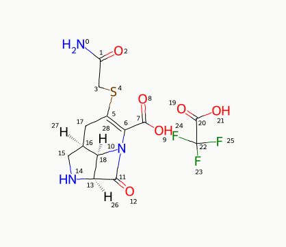 NC(=O)CSC1=C(C(=O)O)N2C(=O)[C@H]3NC[C@@H](C1)[C@H]32.O=C(O)C(F)(F)F